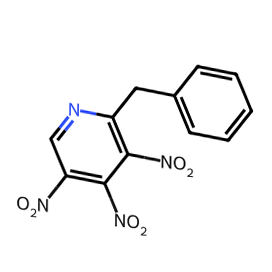 O=[N+]([O-])c1cnc(Cc2ccccc2)c([N+](=O)[O-])c1[N+](=O)[O-]